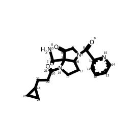 NC(=O)C12C(=O)CN(C(=O)c3ccccn3)C1CCN2C(=O)[CH]CC1CC1